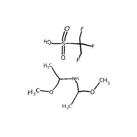 COC(C)NC(C)OC.O=S(=O)(O)C(F)(F)F